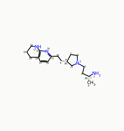 C[C@@H](N)CCN1CC[C@@H](CCc2ccc3c(n2)NCCC3)C1